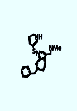 CNCc1cn(SC2=CNCC=C2)c2cc(Cc3ccccc3)ccc12